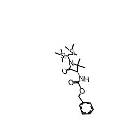 CC1(C)[C@H](NC(=O)OCc2ccccc2)C(=O)N1C([Si](C)(C)C)[Si](C)(C)C